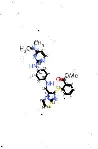 COC(=O)c1ccccc1Sc1nc2sccn2c1CN[C@H]1CC[C@@H](Nc2nccc(N(C)C)n2)CC1